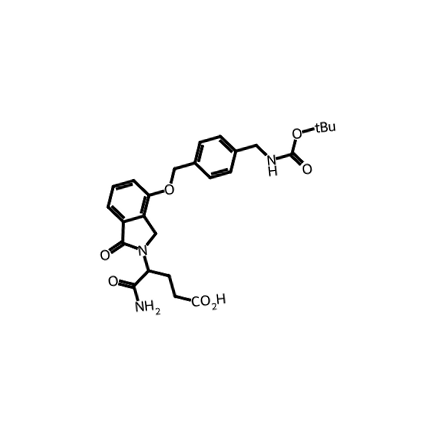 CC(C)(C)OC(=O)NCc1ccc(COc2cccc3c2CN(C(CCC(=O)O)C(N)=O)C3=O)cc1